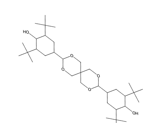 CC(C)(C)C1CC(C2OCC3(CO2)COC(C2CC(C(C)(C)C)C(O)C(C(C)(C)C)C2)OC3)CC(C(C)(C)C)C1O